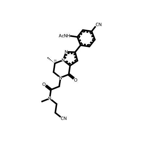 CC(=O)Nc1cc(C#N)ccc1-c1cc2n(n1)[C@@H](C)CN(CC(=O)N(C)CCC#N)C2=O